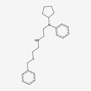 c1ccc(CSCCNCCN(c2ccccc2)C2CCCC2)cc1